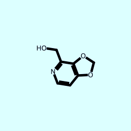 OCc1nccc2c1OCO2